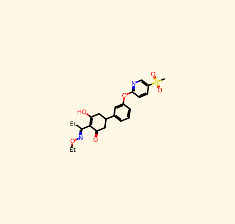 CCON=C(CC)C1=C(O)CC(c2cccc(Oc3ccc(S(C)(=O)=O)cn3)c2)CC1=O